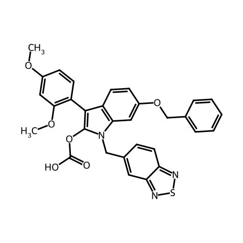 COc1ccc(-c2c(OC(=O)O)n(Cc3ccc4nsnc4c3)c3cc(OCc4ccccc4)ccc23)c(OC)c1